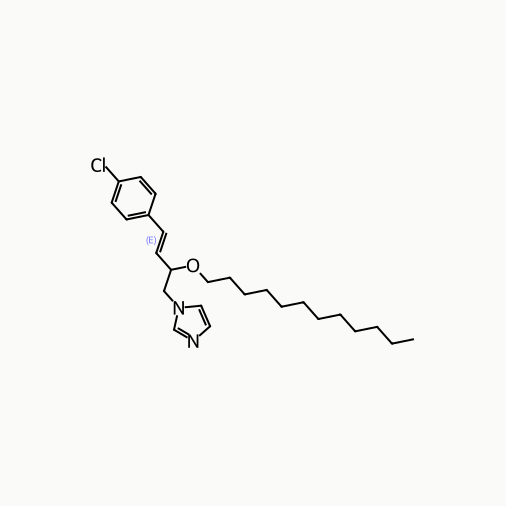 CCCCCCCCCCCCOC(/C=C/c1ccc(Cl)cc1)Cn1ccnc1